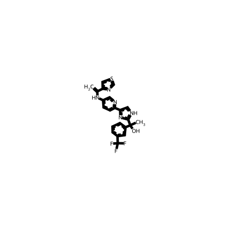 C=C(Nc1ccc(-c2c[nH]c(C(C)(O)c3cccc(C(F)(F)F)c3)n2)nc1)c1cscn1